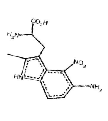 Cc1[nH]c2ccc(N)c([N+](=O)[O-])c2c1CC(N)C(=O)O